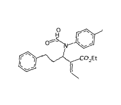 CC=C(C(=O)OCC)C(CCc1ccccc1)N(c1ccc(C)cc1)[SH](=O)=O